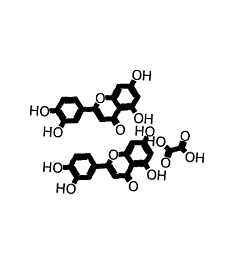 O=C(O)C(=O)O.O=c1cc(-c2ccc(O)c(O)c2)oc2cc(O)cc(O)c12.O=c1cc(-c2ccc(O)c(O)c2)oc2cc(O)cc(O)c12